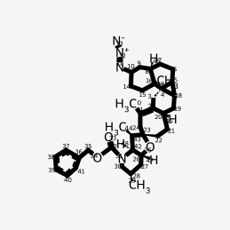 CC1=C2C[C@@]34C(CC[C@@H]5CC(N=[N+]=[N-])CC[C@@]53C)C4C[C@@H]2CC[C@@]2(C1)O[C@@H]1C[C@H](C)CN(C(=O)OCc3ccccc3)[C@H]1[C@H]2C